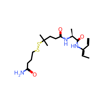 C=C/C(=C\C)NC(=O)[C@H](C)NC(=O)CCC(C)(C)SSCCCC(N)=O